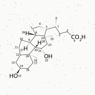 C[C@H](CCC(=O)O)[C@H]1CC[C@H]2[C@@H]3CCC4C[C@H](O)CC[C@]4(C)[C@H]3[C@@H](O)C[C@]12C